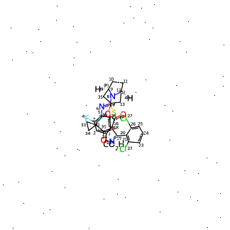 O=C(O)c1cc(F)c2nc(N3[C@@H]4CC[C@H]3CC(OC(=O)c3c(-c5c(Cl)cccc5Cl)noc3C3(F)CC3)C4)sc2c1